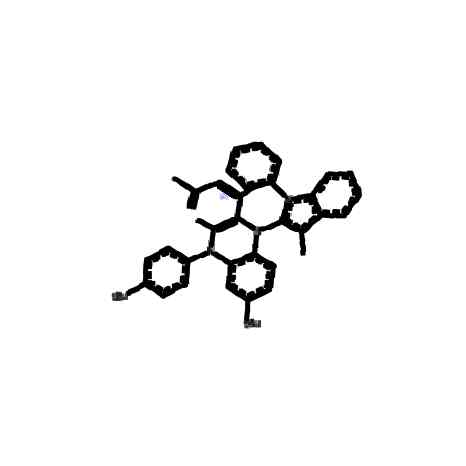 C=C(C)/C=C(/C)C1=C(C)N(c2ccc(C(C)(C)C)cc2)c2cc(C(C)(C)C)ccc2B1c1c(C)c2ccccc2n1-c1ccccc1